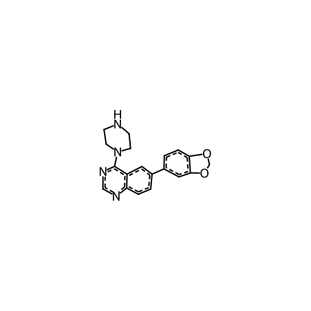 c1nc(N2CCNCC2)c2cc(-c3ccc4c(c3)OCO4)ccc2n1